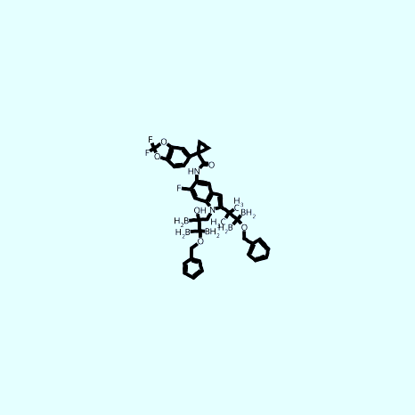 BC(O)(Cn1c(C(C)(C)C(B)(B)OCc2ccccc2)cc2cc(NC(=O)C3(c4ccc5c(c4)OC(F)(F)O5)CC3)c(F)cc21)C(B)(B)OCc1ccccc1